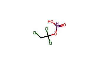 O=[PH](O)OC(Cl)(Cl)CCl